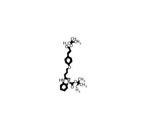 CC(C)(C)OC(=O)/C=C/c1ccc(OCCCC(=O)Nc2ccccc2NC(=O)OC(C)(C)C)cc1